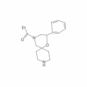 CCC(=O)N1CC(c2ccccc2)OC2(CCNCC2)C1